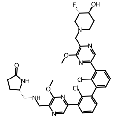 COc1nc(-c2cccc(-c3cccc(-c4cnc(CN5CC[C@H](O)[C@@H](F)C5)c(OC)n4)c3Cl)c2Cl)cnc1CNC[C@@H]1CCC(=O)N1